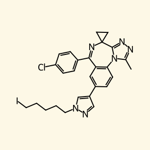 Cc1nnc2n1-c1ccc(-c3cnn(CCCCCI)c3)cc1C(c1ccc(Cl)cc1)=NC21CC1